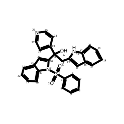 O=S(=O)(c1ccccc1)n1c(C(O)(Cc2cc3ccccc3[nH]2)c2ccncc2)cc2ccccc21